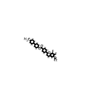 CCOc1cc2c(c(F)c1F)OC(C1CCC(C(=O)OC3CCC(C4CCC(C)CC4)CC3)CC1)CC2